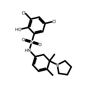 CC1=CC=C(NS(=O)(=O)c2cc(Cl)cc(Cl)c2O)CC1(C)N1CCCC1